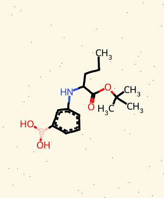 CCCC(Nc1cccc(B(O)O)c1)C(=O)OC(C)(C)C